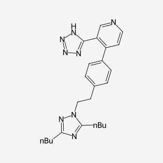 CCCCc1nc(CCCC)n(CCc2ccc(-c3ccncc3-c3nnn[nH]3)cc2)n1